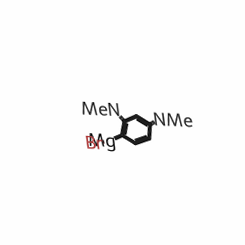 CNc1cc[c]([Mg][Br])c(NC)c1